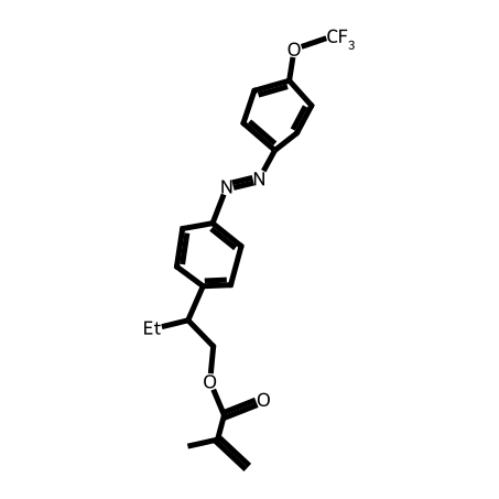 C=C(C)C(=O)OCC(CC)c1ccc(N=Nc2ccc(OC(F)(F)F)cc2)cc1